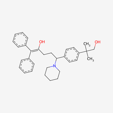 CC(C)(CO)c1ccc(C(CCC(O)=C(c2ccccc2)c2ccccc2)N2CCCCC2)cc1